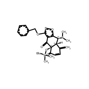 C=C1C=CC(=O)[C@]2(O[Si](C)(C)C(C)(C)C)C(=O)c3c(OCc4ccccc4)noc3[C@@H](N(C)C)[C@H]12